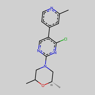 Cc1cc(-c2cnc(N3CC(C)O[C@@H](C)C3)nc2Cl)ccn1